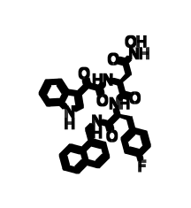 O=C(C[C@H](NC(=O)C(=O)c1c[nH]c2ccccc12)C(=O)N[C@@H](Cc1ccc(F)cc1)C(=O)NCc1cccc2ccccc12)NO